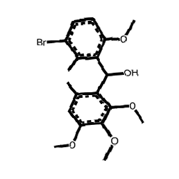 COc1cc(C)c(C(O)c2c(OC)ccc(Br)c2C)c(OC)c1OC